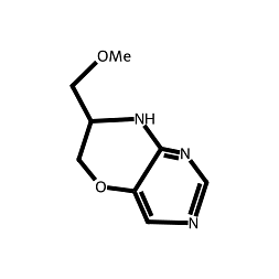 COCC1COc2cncnc2N1